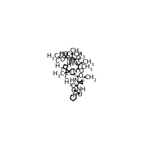 C=C[C@@H]1C[C@]1(NC(=O)[C@@H]1C[C@@]2(CN1C(=O)[C@@H](NC(=O)[C@@H](NC(=O)OC(C)(C)C)C(C)(C)C)C(C)(C)C)C(C)(C)C21CCC1)C(=O)NS(=O)(=O)N1CCCC1